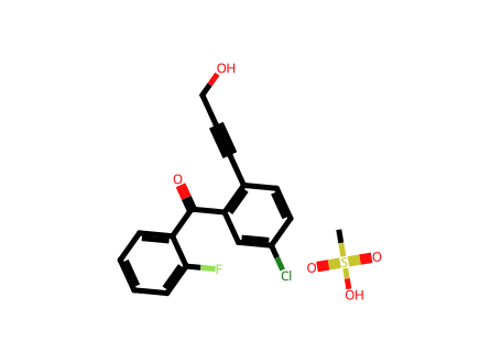 CS(=O)(=O)O.O=C(c1ccccc1F)c1cc(Cl)ccc1C#CCO